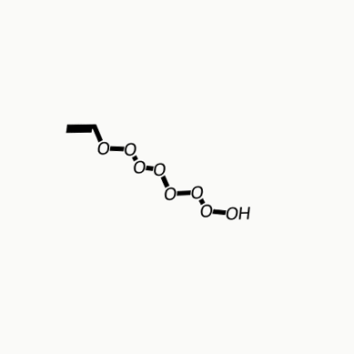 C=COOOOOOOO